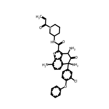 C=CC(=O)N1CCCC(NC(=O)c2sc3c(N)ccc4c3c2C(N)C(=O)C4(N)c2ccc(Oc3ccccc3)c(Cl)c2)C1